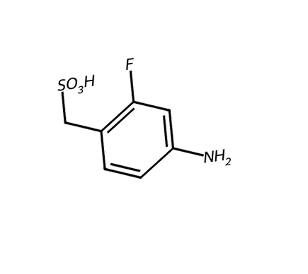 Nc1ccc(CS(=O)(=O)O)c(F)c1